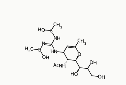 CB(O)/N=C(/NB(C)O)NC1C=C(C)O[C@@H]([C@H](O)C(O)CO)[C@@H]1NC(C)=O